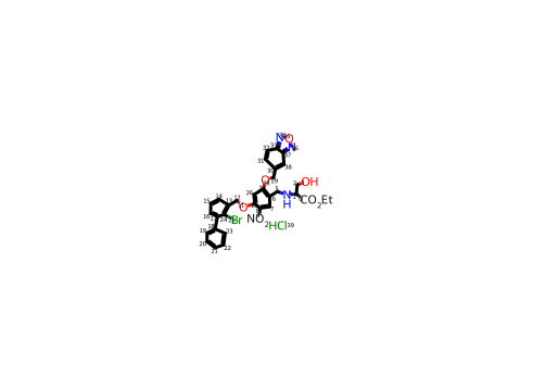 CCOC(=O)C(CO)NCc1cc([N+](=O)[O-])c(OCc2cccc(-c3ccccc3)c2Br)cc1OCc1ccc2nonc2c1.Cl